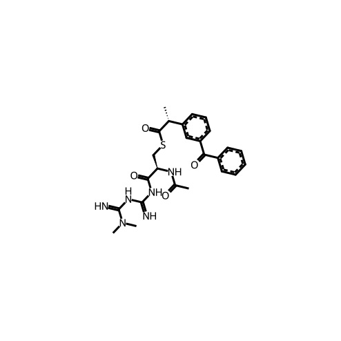 CC(=O)N[C@H](CSC(=O)[C@H](C)c1cccc(C(=O)c2ccccc2)c1)C(=O)NC(=N)NC(=N)N(C)C